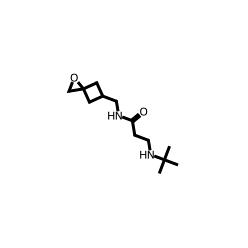 CC(C)(C)NCCC(=O)NCC1CC2(CO2)C1